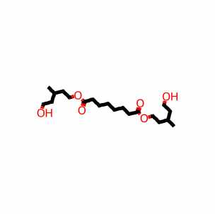 CC(CCO)CCOC(=O)CCCCCCC(=O)OCCC(C)CCO